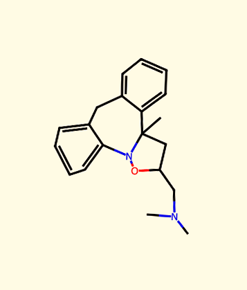 CN(C)CC1CC2(C)c3ccccc3Cc3ccccc3N2O1